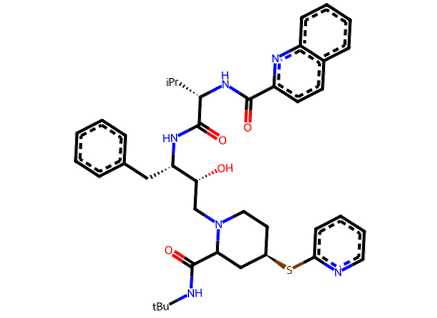 CC(C)[C@H](NC(=O)c1ccc2ccccc2n1)C(=O)N[C@@H](Cc1ccccc1)[C@H](O)CN1CC[C@@H](Sc2ccccn2)CC1C(=O)NC(C)(C)C